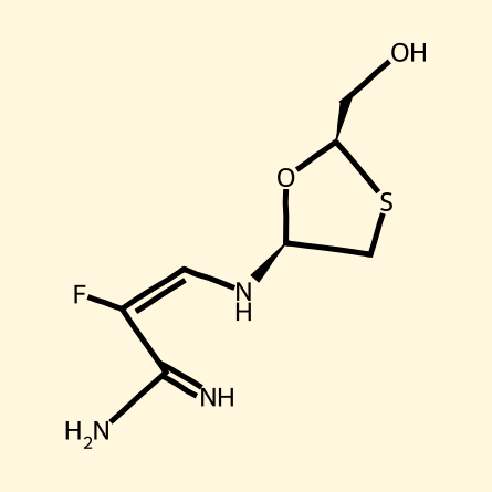 N=C(N)/C(F)=C\N[C@@H]1CS[C@H](CO)O1